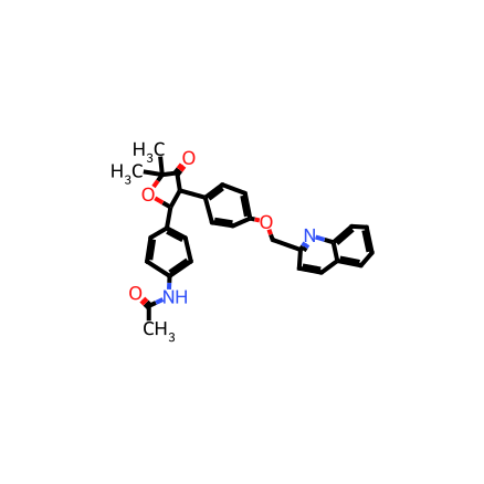 CC(=O)Nc1ccc(C2OC(C)(C)C(=O)C2c2ccc(OCc3ccc4ccccc4n3)cc2)cc1